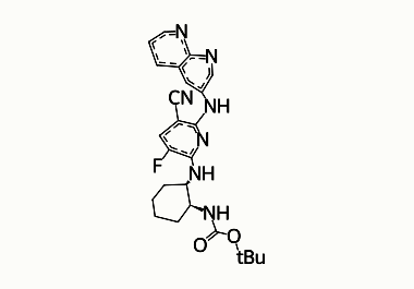 CC(C)(C)OC(=O)N[C@H]1CCCC[C@H]1Nc1nc(Nc2cnc3ncccc3c2)c(C#N)cc1F